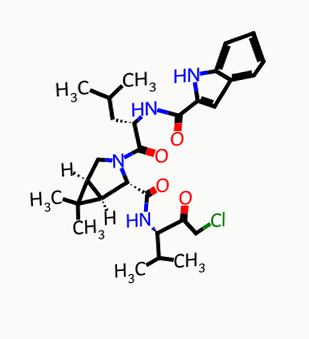 CC(C)C[C@H](NC(=O)c1cc2ccccc2[nH]1)C(=O)N1C[C@H]2[C@@H]([C@H]1C(=O)N[C@H](C(=O)CCl)C(C)C)C2(C)C